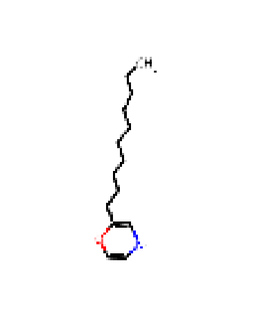 CCCCCCCCCCC1=C[N]C=CO1